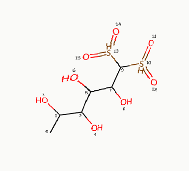 CC(O)C(O)C(O)C(O)C([SH](=O)=O)[SH](=O)=O